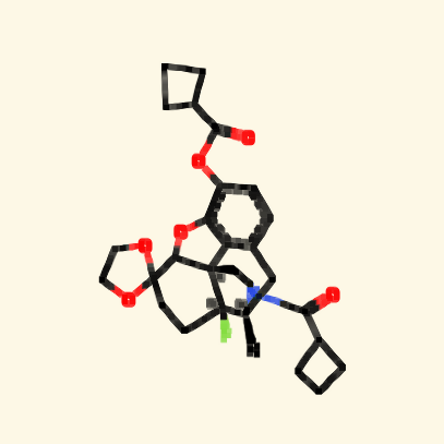 O=C(Oc1ccc2c3c1OC1C4(CC[C@@]5(F)[C@@H](C2)N(C(=O)C2CCC2)CC[C@]315)OCCO4)C1CCC1